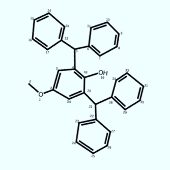 COc1cc(C(c2ccccc2)c2ccccc2)c(O)c(C(c2ccccc2)c2ccccc2)c1